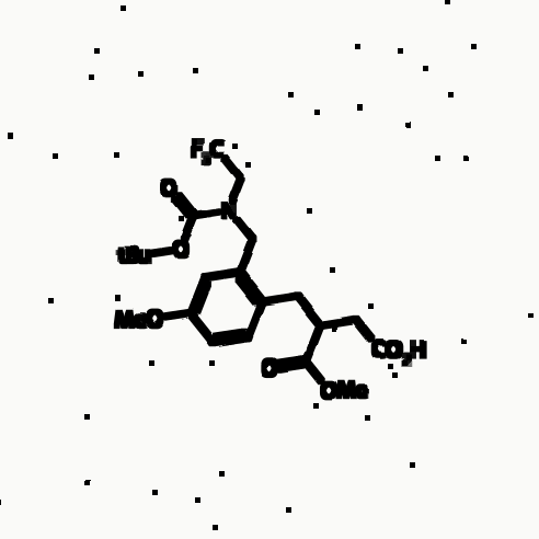 COC(=O)C(CC(=O)O)Cc1ccc(OC)cc1CN(CC(F)(F)F)C(=O)OC(C)(C)C